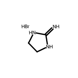 Br.N=C1NCCN1